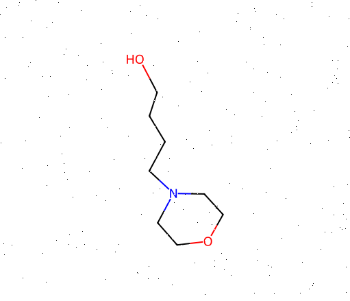 OCCCCN1CCOCC1